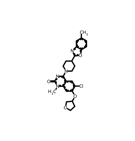 Cc1ccc2oc(C3CCN(c4nc(=O)n(C)c5cc(OC6CCOC6)c(Cl)cc45)CC3)nc2c1